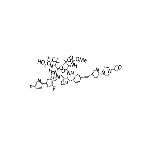 COC(=O)NC(C(=O)NC(Cc1ccc(C#Cc2ccc(N3CCN(C4COC4)CC3)nc2)cc1)C(O)CN(Cc1c(F)cc(-c2ccc(F)cn2)cc1F)NC(=O)C(NC(=O)O)C(C)(C)C(F)(F)F)C(C)(C)C(F)(F)F